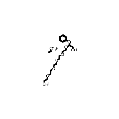 C=CC(=O)O.OCCOCCOCCOCCOCCOC(CO)Oc1ccccc1